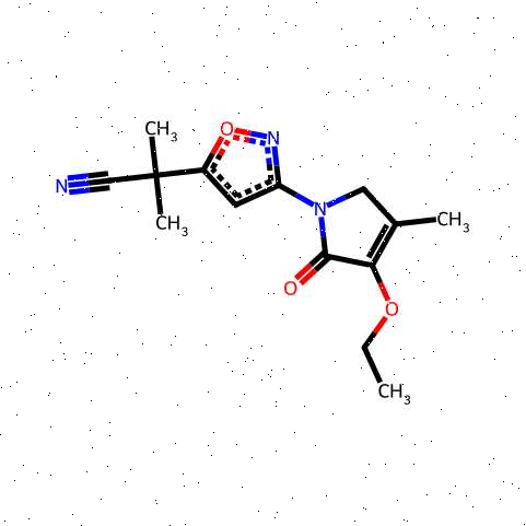 CCOC1=C(C)CN(c2cc(C(C)(C)C#N)on2)C1=O